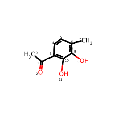 CC(=O)c1ccc(C)c(O)c1O